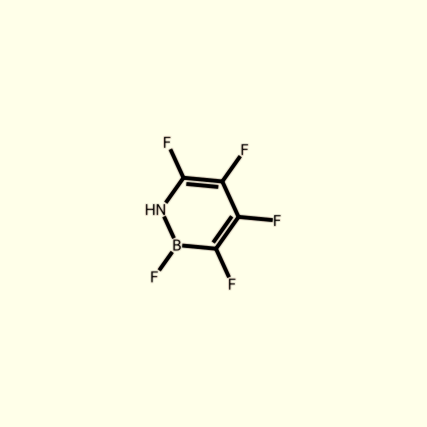 FB1NC(F)=C(F)C(F)=C1F